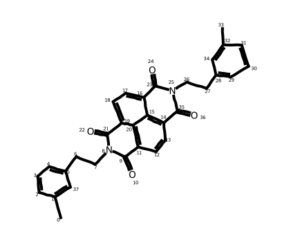 Cc1cccc(CCN2C(=O)c3ccc4c5c(ccc(c35)C2=O)C(=O)N(CCc2cccc(C)c2)C4=O)c1